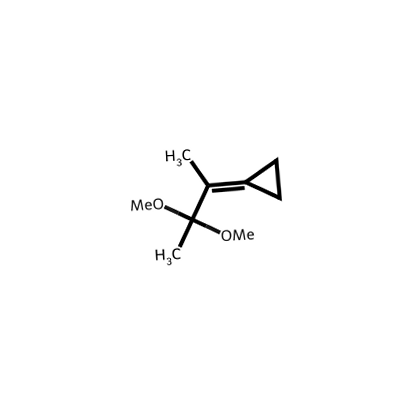 COC(C)(OC)C(C)=C1CC1